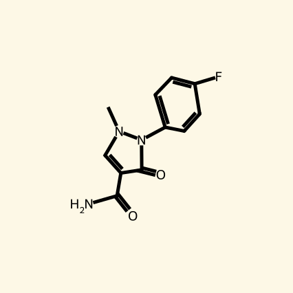 Cn1cc(C(N)=O)c(=O)n1-c1ccc(F)cc1